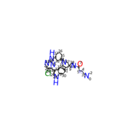 CN(C)C/C=C/C(=O)N1CC2(CCN([C@H]3CCCC(Nc4ncc(Cl)c(-c5c[nH]c6ccccc56)n4)C3)C2)C1